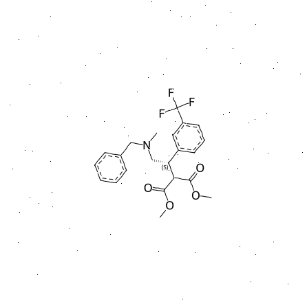 COC(=O)C(C(=O)OC)[C@H](CN(C)Cc1ccccc1)c1cccc(C(F)(F)F)c1